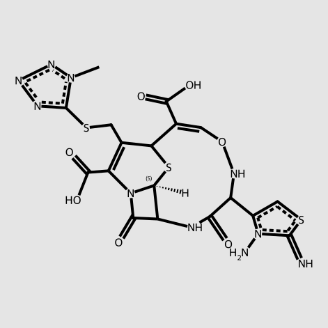 Cn1nnnc1SCC1=C(C(=O)O)N2C(=O)C3NC(=O)C(c4csc(=N)n4N)NOC=C(C(=O)O)C1S[C@@H]32